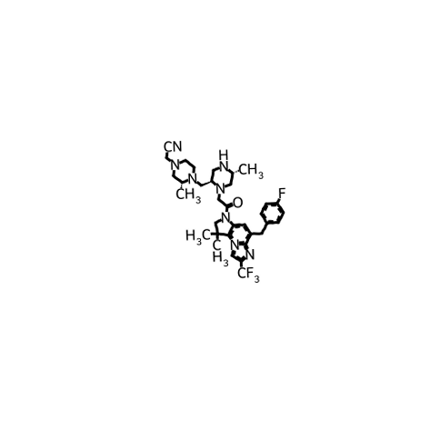 C[C@@H]1CN(CC(=O)N2CC(C)(C)c3c2cc(Cc2ccc(F)cc2)c2nc(C(F)(F)F)cn32)[C@@H](CN2CCN(CC#N)C[C@H]2C)CN1